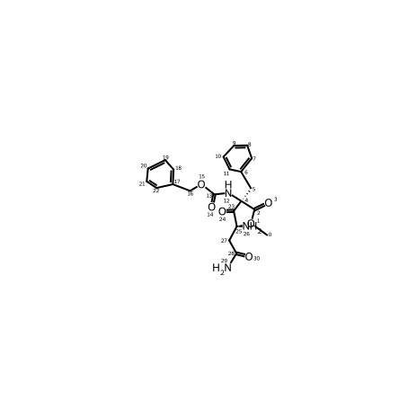 COC(=O)[C@](Cc1ccccc1)(NC(=O)OCc1ccccc1)C(=O)[C@@H](N)CC(N)=O